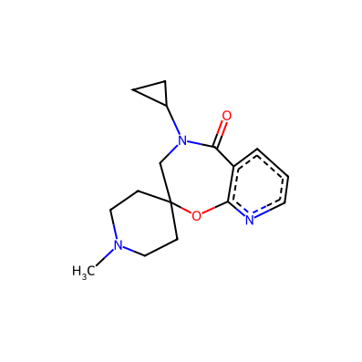 CN1CCC2(CC1)CN(C1CC1)C(=O)c1cccnc1O2